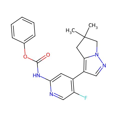 CC1(C)Cc2c(-c3cc(NC(=O)Oc4ccccc4)ncc3F)cnn2C1